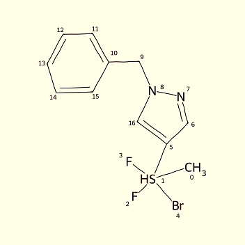 C[SH](F)(F)(Br)c1cnn(Cc2ccccc2)c1